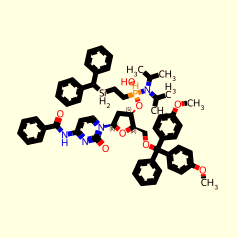 COc1ccc(C(OC[C@H]2O[C@@H](n3ccc(NC(=O)c4ccccc4)nc3=O)C[C@@H]2O[PH](O)(CC[SiH2]C(c2ccccc2)c2ccccc2)N(C(C)C)C(C)C)(c2ccccc2)c2ccc(OC)cc2)cc1